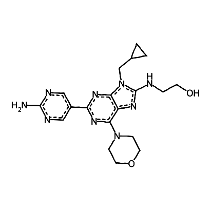 Nc1ncc(-c2nc(N3CCOCC3)c3nc(NCCO)n(CC4CC4)c3n2)cn1